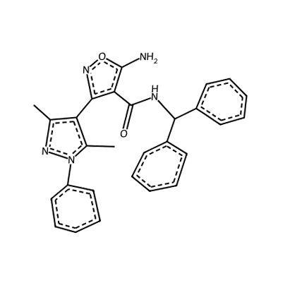 Cc1nn(-c2ccccc2)c(C)c1-c1noc(N)c1C(=O)NC(c1ccccc1)c1ccccc1